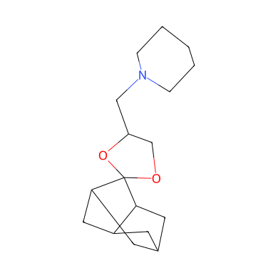 C1CCN(CC2COC3(O2)C2CC4CC(C2)C3C4)CC1